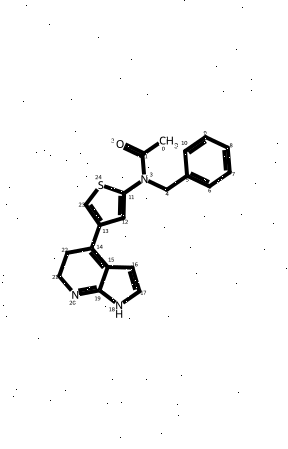 CC(=O)N(Cc1ccccc1)c1cc(C2=c3cc[nH]c3=NCC2)cs1